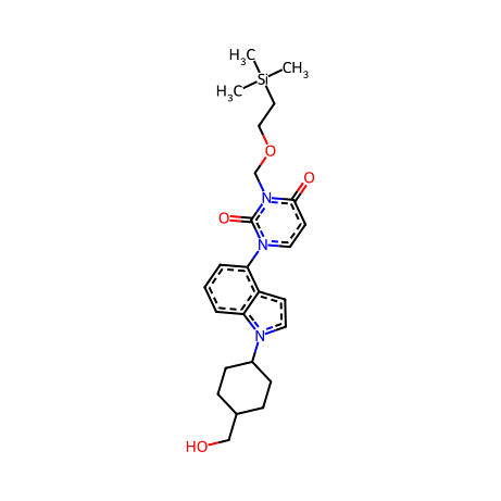 C[Si](C)(C)CCOCn1c(=O)ccn(-c2cccc3c2ccn3C2CCC(CO)CC2)c1=O